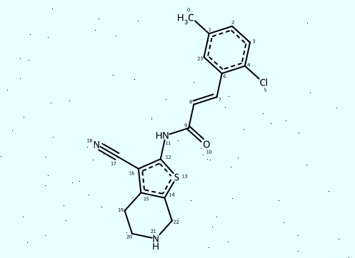 Cc1ccc(Cl)c(C=CC(=O)Nc2sc3c(c2C#N)CCNC3)c1